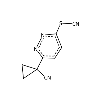 N#CSc1ccc(C2(C#N)CC2)nn1